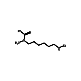 CCNCCCCCCN(C)C(=O)C(C)C